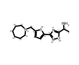 CC(N)c1nc(-c2ccc(CN3CCCCCC3)s2)no1